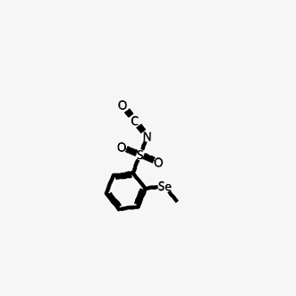 C[Se]c1ccccc1S(=O)(=O)N=C=O